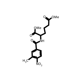 COC(=O)CCCC(NC(=O)c1ccc([N+](=O)[O-])c(C)c1)C(=O)OC